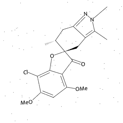 COc1cc(OC)c2c(c1Cl)O[C@@]1(Cc3c(nn(C)c3C)C[C@H]1C)C2=O